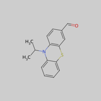 CC(C)N1c2ccccc2Sc2cc(C=O)ccc21